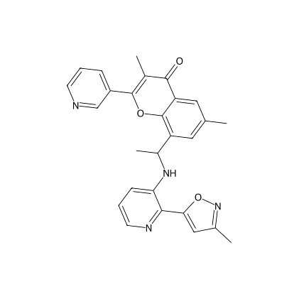 Cc1cc(C(C)Nc2cccnc2-c2cc(C)no2)c2oc(-c3cccnc3)c(C)c(=O)c2c1